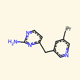 CC(C)c1cncc(Cc2ccnc(N)n2)c1